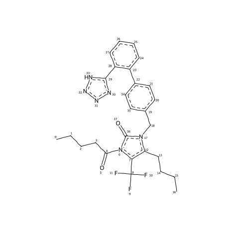 CCCCC(=O)n1c(C(F)(F)F)c(CCCC)n(Cc2ccc(-c3ccccc3-c3nnn[nH]3)cc2)c1=O